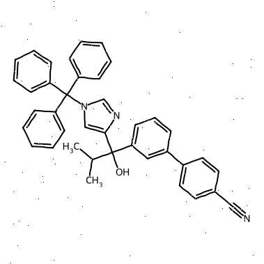 CC(C)C(O)(c1cccc(-c2ccc(C#N)cc2)c1)c1cn(C(c2ccccc2)(c2ccccc2)c2ccccc2)cn1